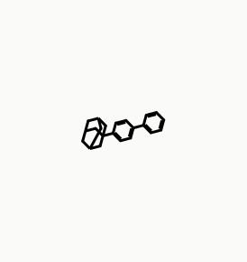 c1ccc(-c2ccc(C34CC5CC(CC(C5)C3)C4)cc2)cc1